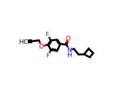 C#CCOc1c(F)cc(C(=O)NCCC2CCC2)cc1F